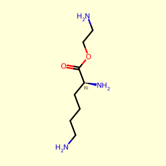 NCCCC[C@H](N)C(=O)OCCN